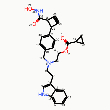 O=C(OCCN(CCc1c[nH]c2ccccc12)Cc1ccc(C2C#CC2C(=O)NO)cc1)C1CC1